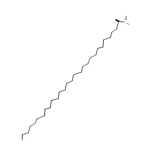 CCCCCCCCCCCCCCCCCCCCCCCCCCCCCCCCCCCCC(=O)N(O)Br